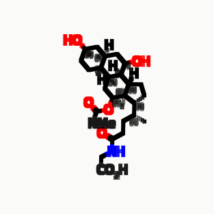 CNC(=O)O[C@H]1C[C@H]2[C@@H]([C@H](O)C[C@@H]3C[C@H](O)CC[C@@]32C)[C@@H]2CC[C@H]([C@H](C)CCC(=O)NCC(=O)O)[C@@]12C